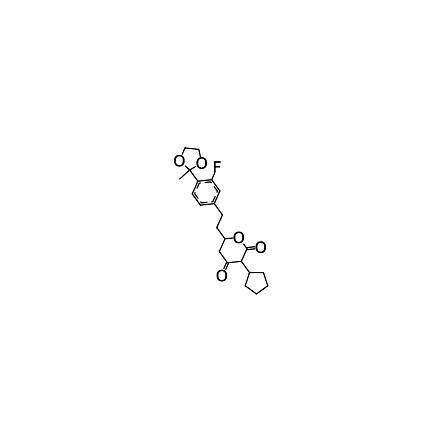 CC1(c2ccc(CCC3CC(=O)C(C4CCCC4)C(=O)O3)cc2F)OCCO1